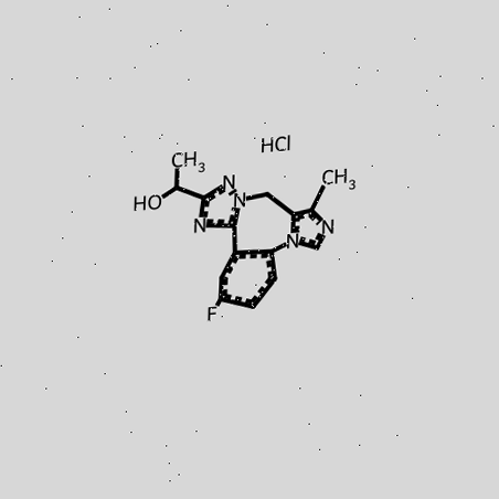 Cc1ncn2c1Cn1nc(C(C)O)nc1-c1cc(F)ccc1-2.Cl